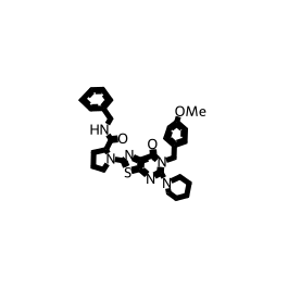 COc1ccc(Cn2c(N3CCCCC3)nc3sc(N4CCCC4C(=O)NCc4ccccc4)nc3c2=O)cc1